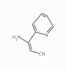 N#C/C=C(/N)c1ccccn1